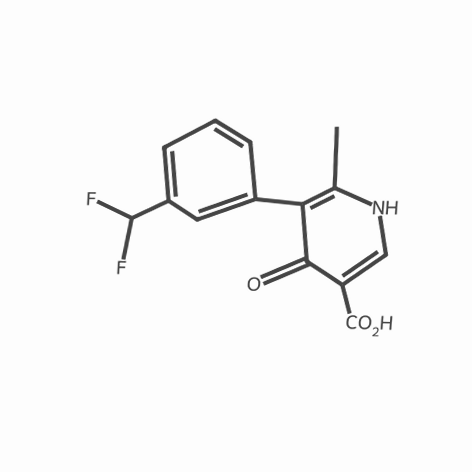 Cc1[nH]cc(C(=O)O)c(=O)c1-c1cccc(C(F)F)c1